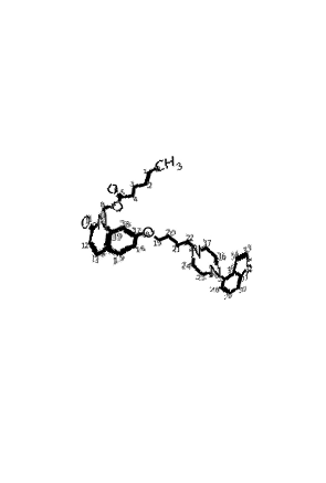 CCCCCC(=O)OCn1c(=O)ccc2ccc(OCCCCN3CCN(c4cccc5sccc45)CC3)cc21